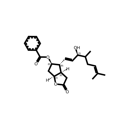 CC(C)=CCC(C)[C@H](O)C=C[C@@H]1[C@H]2CC(=O)O[C@H]2C[C@H]1OC(=O)c1ccccc1